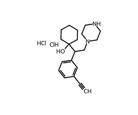 C#Cc1cccc(C(CN2CCNCC2)C2(O)CCCCC2)c1.Cl.Cl